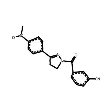 C[S+]([O-])c1ccc(C2=NN(C(=O)c3cccc(C#N)c3)CC2)cc1